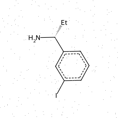 CC[C@@H](N)c1cccc(I)c1